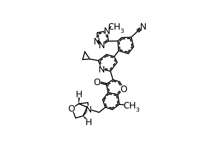 Cc1cc(CN2C[C@@H]3C[C@H]2CO3)cc2c(=O)c(-c3cc(-c4ccc(C#N)cc4-c4nncn4C)cc(C4CC4)n3)coc12